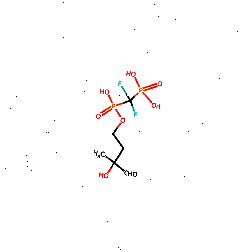 CC(O)(C=O)CCOP(=O)(O)C(F)(F)P(=O)(O)O